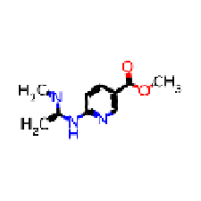 C=NC(=C)Nc1ccc(C(=O)OC)cn1